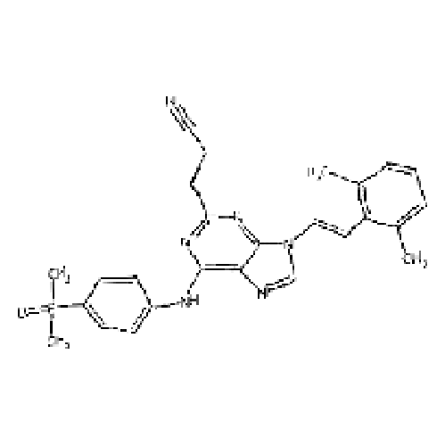 Cc1cccc(C)c1C=Cn1cnc2c(Nc3ccc(P(C)(C)=O)cc3)nc(CCC#N)nc21